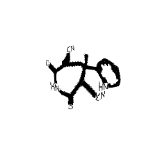 CC1(c2ccc[nH]2)C(C#N)C(=O)NC(=O)C1C#N